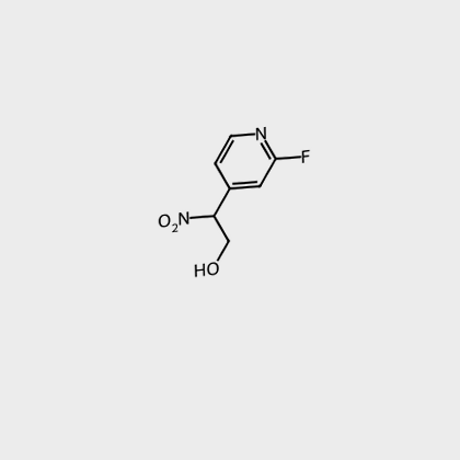 O=[N+]([O-])C(CO)c1ccnc(F)c1